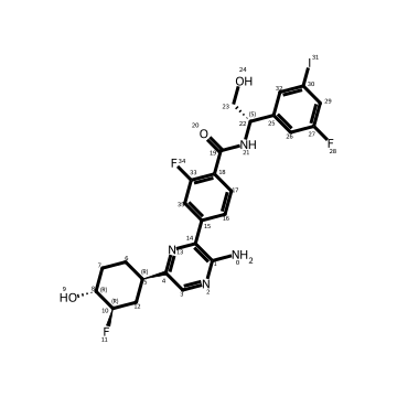 Nc1ncc([C@@H]2CC[C@@H](O)[C@H](F)C2)nc1-c1ccc(C(=O)N[C@H](CO)c2cc(F)cc(I)c2)c(F)c1